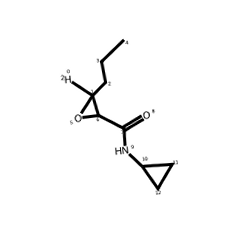 [2H]C1(CCC)OC1C(=O)NC1CC1